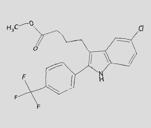 COC(=O)CCCc1c(-c2ccc(C(F)(F)F)cc2)[nH]c2ccc(Cl)cc12